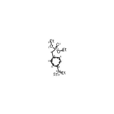 CCOP(=O)(Cc1ccc(N(CC)CC)cc1)OCC